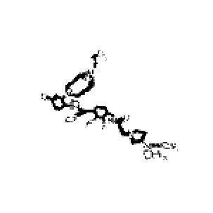 CN(C)[C@H]1CCN(CC(=O)NCc2ccc(C(=O)Nc3ccc(Cl)cc3N3CCN(CCC(F)(F)F)CC3)c(F)c2F)C1